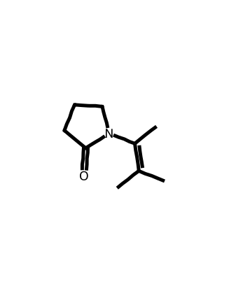 CC(C)=C(C)N1CCCC1=O